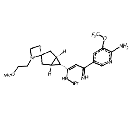 COCCN1CC[C@@]12C[C@@H]1[C@H](C2)[C@H]1/C(=C/C(=N)c1cnc(N)c(OC(F)(F)F)c1)NC(C)C